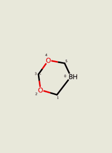 B1CO[CH]OC1